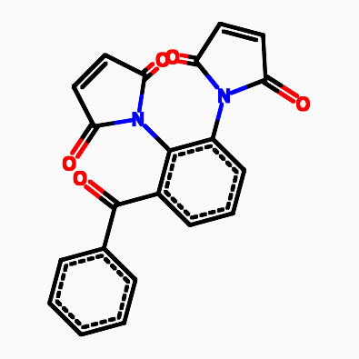 O=C(c1ccccc1)c1cccc(N2C(=O)C=CC2=O)c1N1C(=O)C=CC1=O